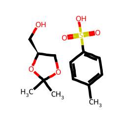 CC1(C)OC[C@H](CO)O1.Cc1ccc(S(=O)(=O)O)cc1